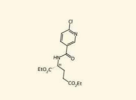 CCOC(=O)CC[C@@H](NC(=O)c1ccc(Cl)nc1)C(=O)OCC